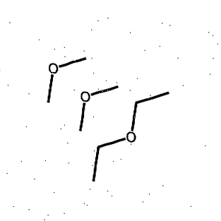 CCOCC.COC.COC